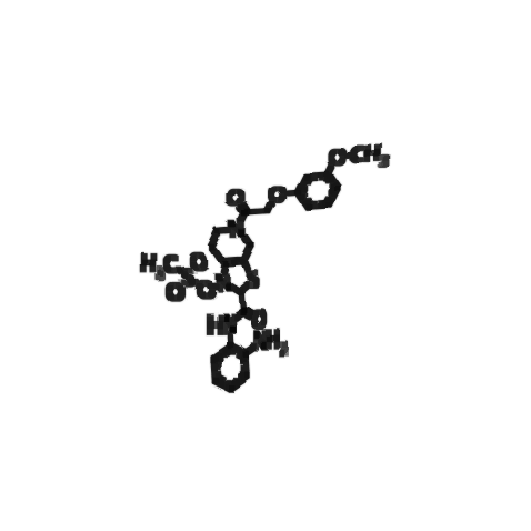 COc1cccc(OCC(=O)N2CCC3=C(C2)SC(C(=O)Nc2ccccc2N)N3OS(C)(=O)=O)c1